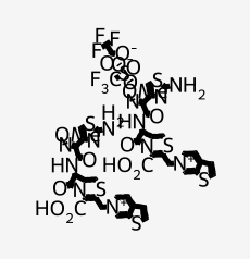 CON=C(C(=O)NC1C(=O)N2C(C(=O)O)=C(C[n+]3ccc4ccsc4c3)SCC12)c1csc(N)n1.CON=C(C(=O)NC1C(=O)N2C(C(=O)O)=C(C[n+]3ccc4ccsc4c3)SCC12)c1csc(N)n1.O=C([O-])C(F)(F)F.O=S(=O)([O-])C(F)(F)F